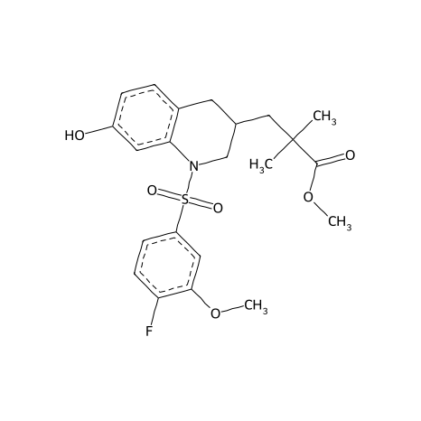 COC(=O)C(C)(C)CC1Cc2ccc(O)cc2N(S(=O)(=O)c2ccc(F)c(OC)c2)C1